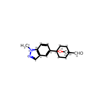 Cn1ncc2cc(C34CCC(C=O)(CC3)CO4)ccc21